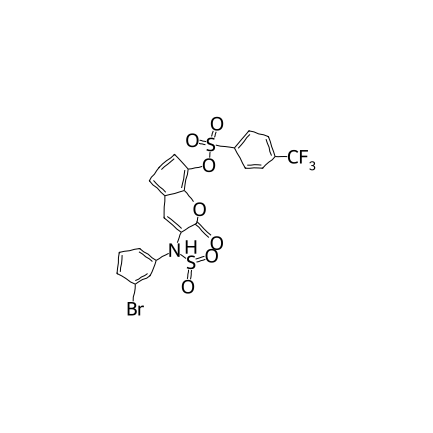 O=c1oc2c(OS(=O)(=O)c3ccc(C(F)(F)F)cc3)cccc2cc1N(c1cccc(Br)c1)[SH](=O)=O